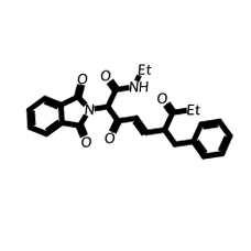 CCNC(=O)C(C(=O)/C=C/C(Cc1ccccc1)C(=O)CC)N1C(=O)c2ccccc2C1=O